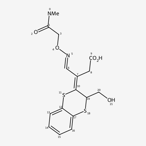 CNC(=O)CO/N=C/C(CC(=O)O)=C1\Sc2ccccc2SC1CO